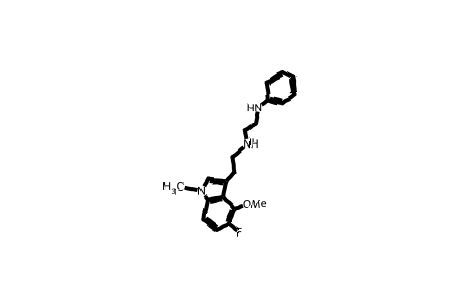 COc1c(F)ccc2c1c(CCNCCNc1ccccc1)cn2C